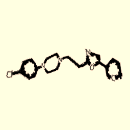 Clc1ccc(N2CCN(CCc3ncc(-c4ccccc4)o3)CC2)cc1